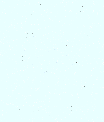 Cc1cc2c(c(C)c1C)c1nc(C)c3n1c1c(ccc(C)c21)C(C)(C)C3(C)C